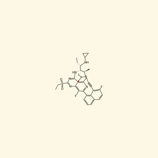 CC[C@H](NC1CC1)[C@H]1Nc2nc(S(=O)(=O)CC)nc3c(F)c(-c4cccc5ccc(F)c(C#CSP(I)I)c45)nc(c23)C[C@@H]1C